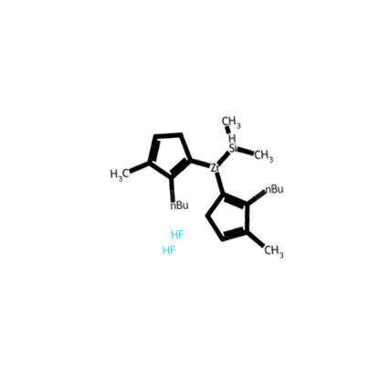 CCCCC1=[C]([Zr]([C]2=C(CCCC)C(C)=CC2)[SiH](C)C)CC=C1C.F.F